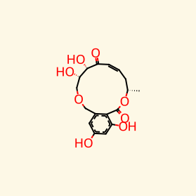 C[C@H]1C/C=C\C(=O)[C@@H](O)[C@@H](O)COCc2cc(O)cc(O)c2C(=O)O1